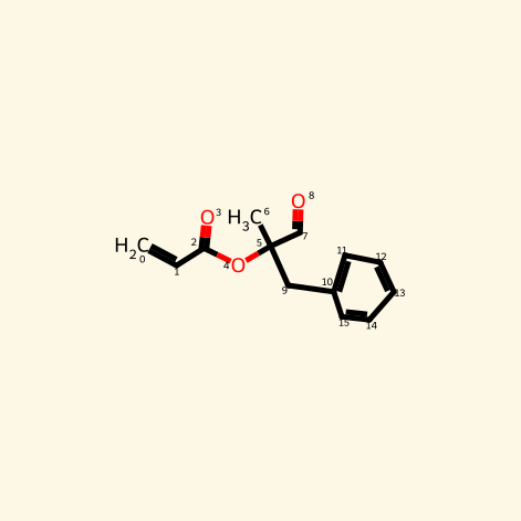 C=CC(=O)OC(C)(C=O)Cc1ccccc1